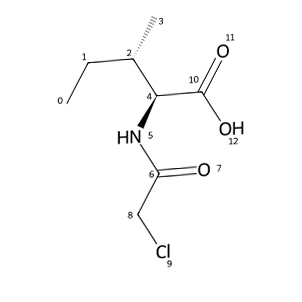 CC[C@H](C)[C@H](NC(=O)CCl)C(=O)O